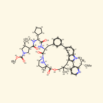 CCn1c(-c2cccnc2[C@H](C)OC)c2c3cc(ccc31)-c1cccc(c1)C[C@H](NC(=O)[C@H](C1CCCC1)N(C)C(=O)[C@H]1CN(C(=O)OC(C)(C)C)C[C@H]1C)C(=O)N1CCC[C@H](N1)C(=O)OCC(C)(C)C2